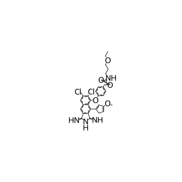 CCOCCCNS(=O)(=O)c1ccc(Oc2c(Cl)c(Cl)cc3cc4c(c(C5=CC(OC)=CC5)c23)C(=N)NC4=N)cc1